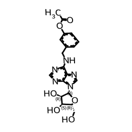 CC(=O)Oc1cccc(CNc2ncnc3c2ncn3[C@@H]2O[C@H](CO)[C@@H](O)[C@H]2O)c1